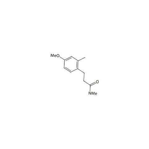 CNC(=O)CCc1ccc(OC)cc1C